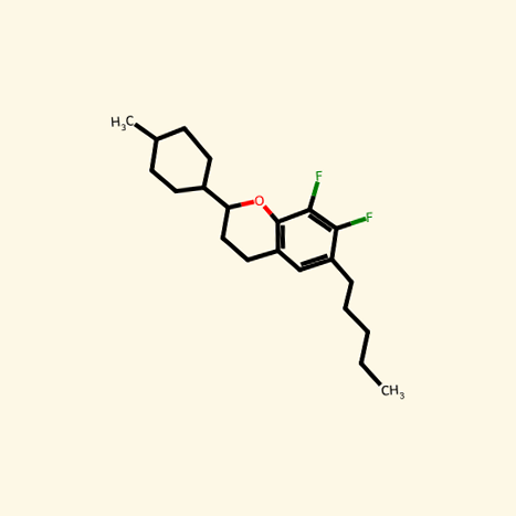 CCCCCc1cc2c(c(F)c1F)OC(C1CCC(C)CC1)CC2